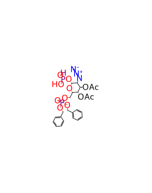 CC(=O)O[C@@H]1C(COP(=O)(OCc2ccccc2)OCc2ccccc2)O[C@H](O[PH](=O)O)C(N=[N+]=[N-])[C@H]1OC(C)=O